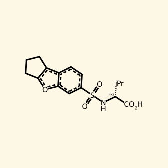 CC(C)[C@@H](NS(=O)(=O)c1ccc2c3c(oc2c1)CCC3)C(=O)O